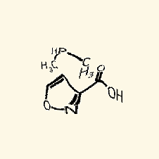 CPC.O=C(O)c1ccon1